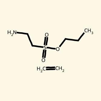 C=C.CCCOS(=O)(=O)CCN